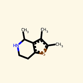 Cc1sc2c(c1C)C(C)NCC2